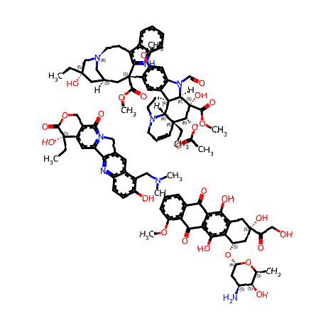 CC[C@@]1(O)C(=O)OCc2c1cc1n(c2=O)Cc2cc3c(CN(C)C)c(O)ccc3nc2-1.CC[C@]1(O)C[C@H]2C[N@](CCc3c([nH]c4ccccc34)[C@@](C(=O)OC)(c3cc4c(cc3OC)N(C=O)[C@H]3[C@@](O)(C(=O)OC)[C@H](OC(C)=O)[C@]5(CC)C=CCN6CC[C@]43[C@@H]65)C2)C1.COc1cccc2c1C(=O)c1c(O)c3c(c(O)c1C2=O)C[C@@](O)(C(=O)CO)C[C@@H]3O[C@H]1C[C@H](N)[C@H](O)[C@H](C)O1